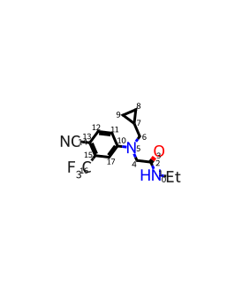 CCNC(=O)CN(CC1CC1)c1ccc(C#N)c(C(F)(F)F)c1